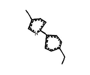 CCc1ccc(-c2ccc(C)cn2)cc1